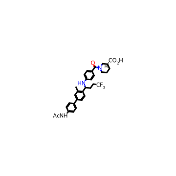 CC(=O)Nc1ccc(-c2ccc(C(CCC(F)(F)F)Nc3ccc(C(=O)N4CCC[C@@H](C(=O)O)C4)cc3)c(C)c2)cc1